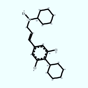 CCN(CC=Cc1cc(Cl)c(C2CCCCC2)c(Cl)c1)C1CCCCC1